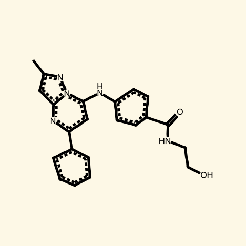 Cc1cc2nc(-c3ccccc3)cc(Nc3ccc(C(=O)NCCO)cc3)n2n1